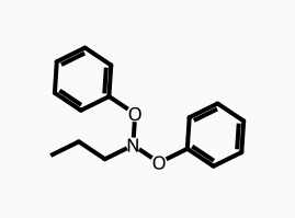 CCCN(Oc1ccccc1)Oc1ccccc1